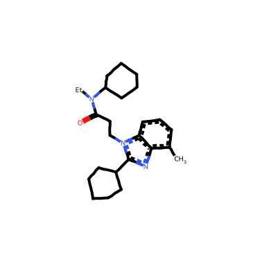 CCN(C(=O)CCn1c(C2CCCCC2)nc2c(C)cccc21)C1CCCCC1